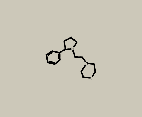 [c]1cccc(C2CCCN2CCN2CCOCC2)c1